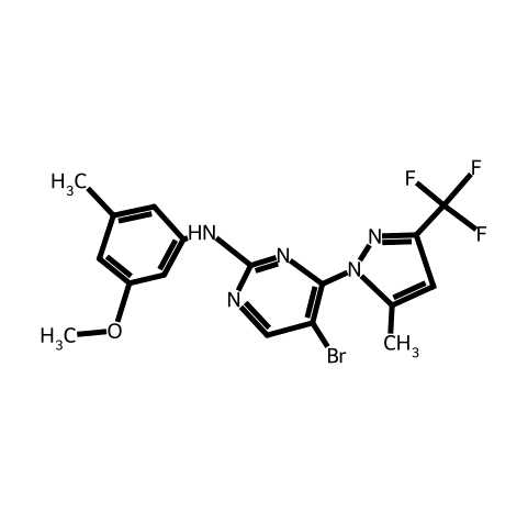 COc1cc(C)cc(Nc2ncc(Br)c(-n3nc(C(F)(F)F)cc3C)n2)c1